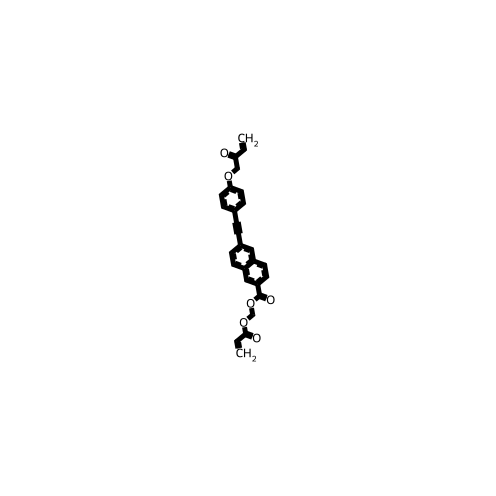 C=CC(=O)COc1ccc(C#Cc2ccc3cc(C(=O)OCOC(=O)C=C)ccc3c2)cc1